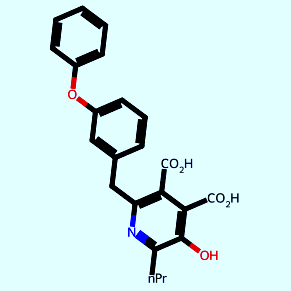 CCCc1nc(Cc2cccc(Oc3ccccc3)c2)c(C(=O)O)c(C(=O)O)c1O